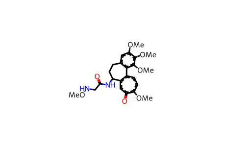 CONCC(=O)NC1CCc2cc(OC)c(OC)c(OC)c2-c2ccc(OC)c(=O)cc21